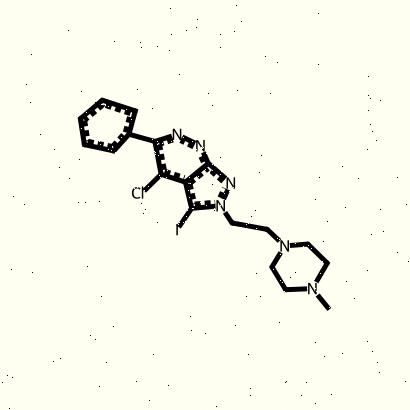 CN1CCN(CCn2nc3nnc(-c4ccccc4)c(Cl)c3c2I)CC1